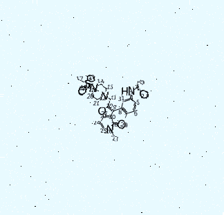 CC(=O)Nc1cccc(-c2c(CN3CCN(S(C)(=O)=O)CC3)oc3ccn(C)c(=O)c23)c1